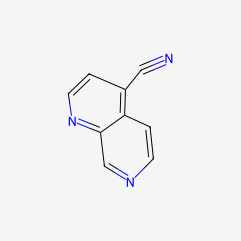 N#Cc1ccnc2cnccc12